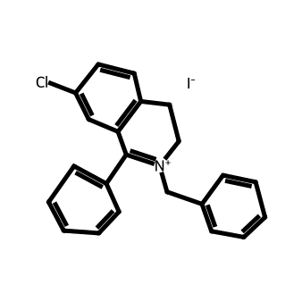 Clc1ccc2c(c1)C(c1ccccc1)=[N+](Cc1ccccc1)CC2.[I-]